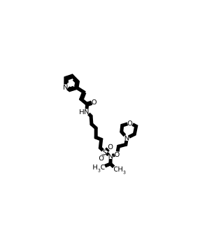 CC(C)N(OCCN1CCOCC1)S(=O)(=O)CCCCCCNC(=O)/C=C/c1cccnc1